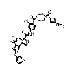 Cn1c(-c2cn(Cc3cccnc3)nc2C(F)(F)F)cnc1C(=O)Nc1ccc(C(=O)N2CCN(C(=O)[C@H]3C[C@H](N)C3)CC2)c(Cl)c1